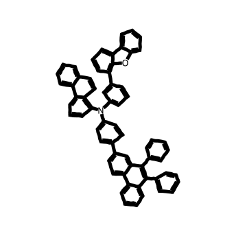 c1ccc(-c2c(-c3ccccc3)c3cc(-c4ccc(N(c5cccc(-c6cccc7c6oc6ccccc67)c5)c5cccc6c5ccc5ccccc56)cc4)ccc3c3ccccc23)cc1